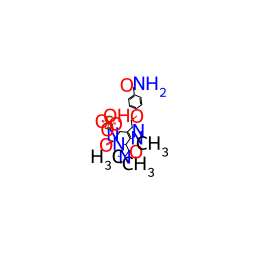 CN(C)C(=O)C1c2c(c(COc3ccc(C(N)=O)cc3)nn2C)C2CN1C(=O)N2OS(=O)(=O)O